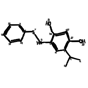 CC(C)c1cc(NSc2ccccc2)c(O)cc1O